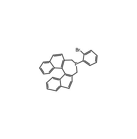 Brc1ccccc1P1Cc2ccc3ccccc3c2-c2c(ccc3ccccc23)C1